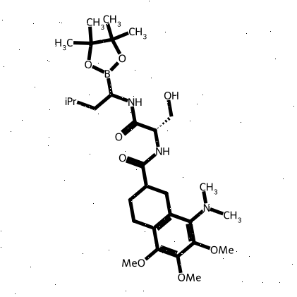 COc1c2c(c(N(C)C)c(OC)c1OC)CC(C(=O)N[C@@H](CO)C(=O)NC(CC(C)C)B1OC(C)(C)C(C)(C)O1)CC2